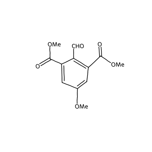 COC(=O)c1cc(OC)cc(C(=O)OC)c1C=O